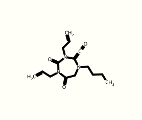 C=CCN1C(=O)CN(CCCC)C(=C=O)N(CC=C)C1=O